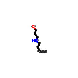 COCCNCCC[O]